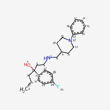 C=CCC(O)(CCNCC1CCN(c2ccccc2)CC1)c1ccc(F)cc1